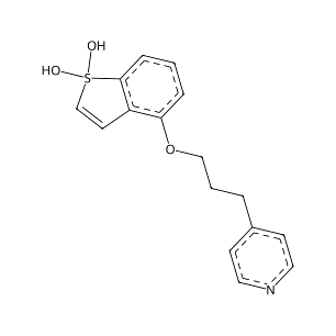 OS1(O)C=Cc2c(OCCCc3ccncc3)cccc21